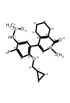 Cn1cc(-c2cc(N[S+](C)[O-])c(F)cc2OCC2CC2)c2c(c1=O)CCCC2